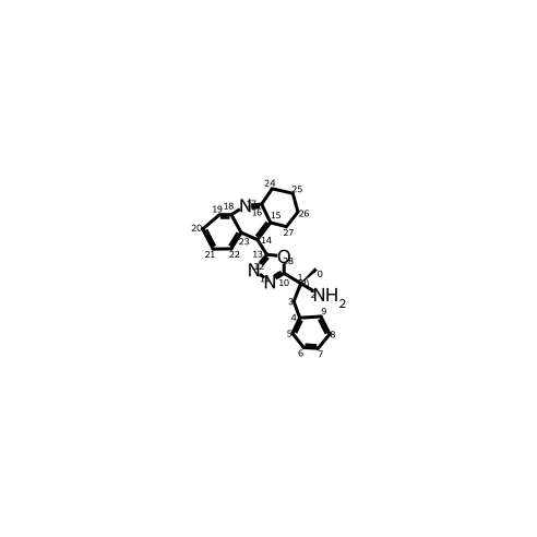 C[C@@](N)(Cc1ccccc1)c1nnc(-c2c3c(nc4ccccc24)CCCC3)o1